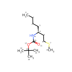 CCCC[C@@H](CCSC)NC(=O)OC(C)(C)C